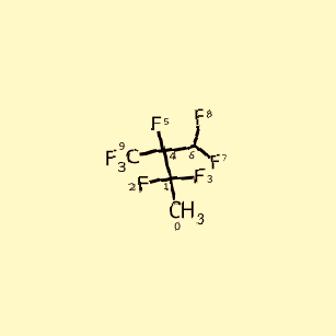 CC(F)(F)C(F)(C(F)F)C(F)(F)F